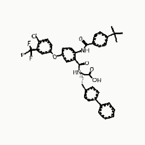 CC(C)(C)c1ccc(C(=O)Nc2ccc(Oc3ccc(Cl)c(C(F)(F)F)c3)cc2C(=O)N[C@@H](Cc2ccc(-c3ccccc3)cc2)C(=O)O)cc1